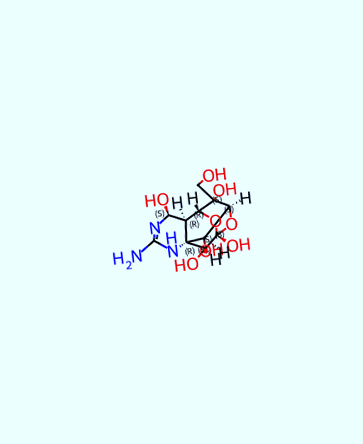 NC1=N[C@@H](O)[C@H]2[C@H]3O[C@]4(O)O[C@@H]([C@@H](O)[C@@]2(N1)[C@@H]4O)[C@]3(O)CO